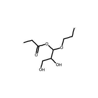 [CH2]CCOC(OC(=O)CC)C(O)CO